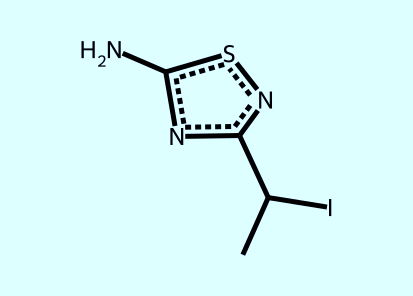 CC(I)c1nsc(N)n1